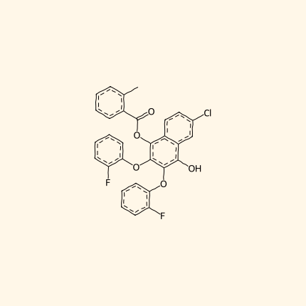 Cc1ccccc1C(=O)Oc1c(Oc2ccccc2F)c(Oc2ccccc2F)c(O)c2cc(Cl)ccc12